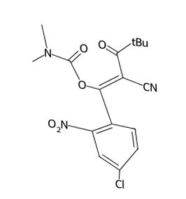 CN(C)C(=O)O/C(=C(/C#N)C(=O)C(C)(C)C)c1ccc(Cl)cc1[N+](=O)[O-]